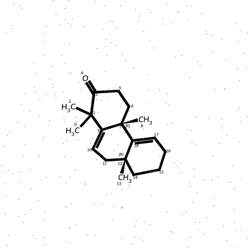 CC1(C)C(=O)CC[C@@]2(C)C1=CC[C@@]1(C)CCCC=C12